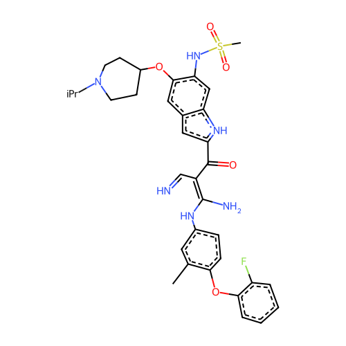 Cc1cc(N/C(N)=C(\C=N)C(=O)c2cc3cc(OC4CCN(C(C)C)CC4)c(NS(C)(=O)=O)cc3[nH]2)ccc1Oc1ccccc1F